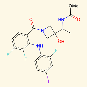 COC(=O)NC(C)C1(O)CN(C(=O)c2ccc(F)c(F)c2Nc2ccc(I)cc2F)C1